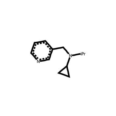 CC(C)N(Cc1cccnc1)C1CC1